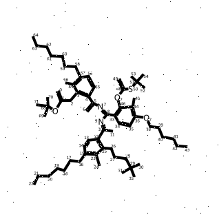 C=C(Cc1c(C(=C)/N=C(\N=C(/C)c2ccc(CCCCCCC)c(C)c2CCCC(C)(C)C)c2ccc(OCCCCCC)c(C)c2OC(=C)SC(C)(C)C)ccc(CCCCCCC)c1C)OC(C)(C)C